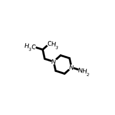 CC(C)CN1CCN(N)CC1